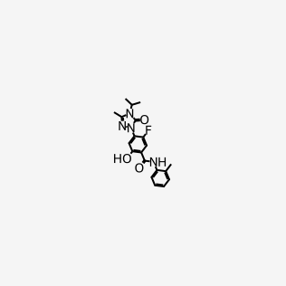 Cc1ccccc1NC(=O)c1cc(F)c(-n2nc(C)n(C(C)C)c2=O)cc1O